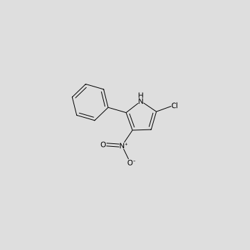 O=[N+]([O-])c1cc(Cl)[nH]c1-c1ccccc1